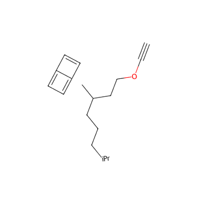 C#COCCC(C)CCCC(C)C.c1cc2ccc1-2